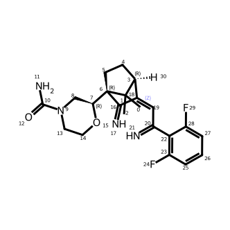 CC1(C)[C@H]2CC[C@]1([C@@H]1CN(C(N)=O)CCO1)C(=N)/C2=C\C(=N)c1c(F)cccc1F